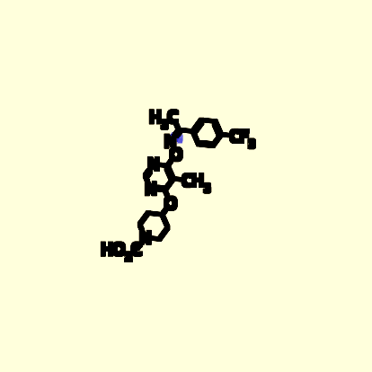 C/C(=N/Oc1ncnc(OC2CCN(C(=O)O)CC2)c1C)c1ccc(C(F)(F)F)cc1